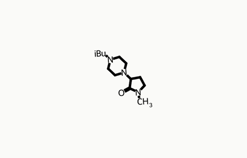 CCC(C)N1CCN(C2CCN(C)C2=O)CC1